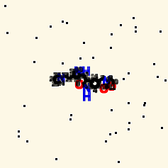 O=C1Nc2ccc(CN3CCOC3=O)cc2/C1=C/c1cc(CCN2CCCC2)c[nH]1